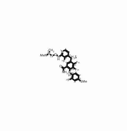 CNN(C)SONc1nccc(Cc2cc(C(N)=O)c(Nc3ccc(SC)cc3F)c(F)c2F)c1F.S